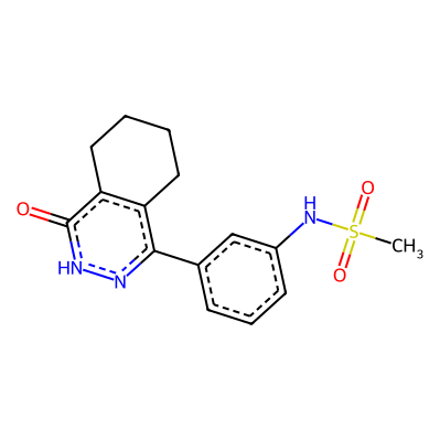 CS(=O)(=O)Nc1cccc(-c2n[nH]c(=O)c3c2CCCC3)c1